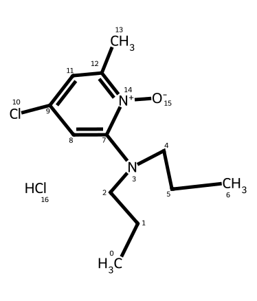 CCCN(CCC)c1cc(Cl)cc(C)[n+]1[O-].Cl